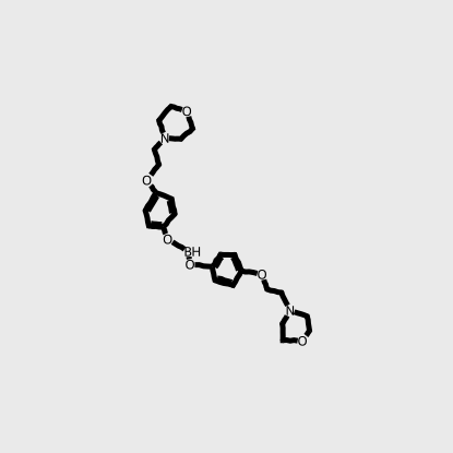 B(Oc1ccc(OCCN2CCOCC2)cc1)Oc1ccc(OCCN2CCOCC2)cc1